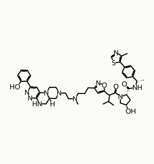 Cc1ncsc1-c1ccc([C@H](C)NC(=O)[C@@H]2C[C@@H](O)CN2C(=O)C(c2cc(CCCN(C)CCN3CCN4c5cc(-c6ccccc6O)nnc5NC[C@H]4C3)no2)C(C)C)cc1